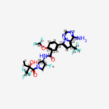 CCC(O)(C(=O)N1C[C@H](F)[C@H](NC(=O)c2cc(-c3cc(C(F)(F)F)c4c(N)ncnn34)ccc2OC(F)F)C1)C(F)(F)F